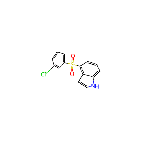 O=S(=O)(c1cccc(Cl)c1)c1cccc2[nH]ccc12